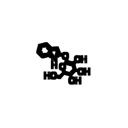 OC[C@H]1OC(Oc2cc3ccccc3[nH]2)=C(O)[C@@H](O)[C@H]1O